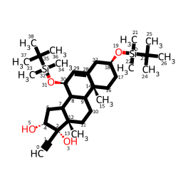 C#C[C@@]1(O)[C@H](O)CC2C3C(CC[C@@]21C)[C@@]1(C)CC[C@H](O[Si](C)(C)C(C)(C)C)CC1=C[C@@H]3O[Si](C)(C)C(C)(C)C